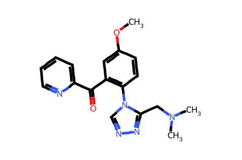 COc1ccc(-n2cnnc2CN(C)C)c(C(=O)c2ccccn2)c1